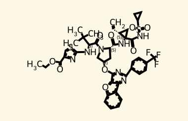 C=C[C@@H]1C[C@]1(NC(=O)[C@@H]1C[C@@H](Oc2nc(-c3ccc(C(F)(F)F)cc3)nc3c2oc2ccccc23)CN1C(=O)[C@@H](Nc1nc(C(=O)OCC)cs1)C(C)(C)C)C(=O)NS(=O)(=O)C1CC1